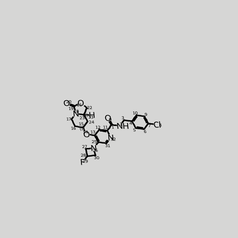 O=C(NCc1ccc(Cl)cc1)c1cc(O[C@H]2CCN3C(=O)OC[C@@H]3C2)c(N2CC(F)C2)cn1